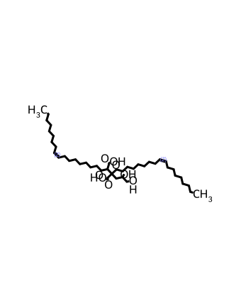 CCCCCCCC/C=C\CCCCCCCC(=O)C(C(=O)O)C(CC(O)CO)(C(=O)O)C(=O)CCCCCCC/C=C\CCCCCCCC